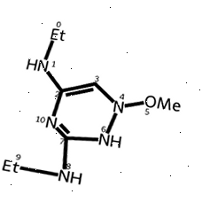 CCNC1=CN(OC)NC(NCC)=N1